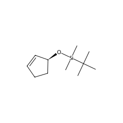 CC(C)(C)[Si](C)(C)O[C@@H]1C=CCC1